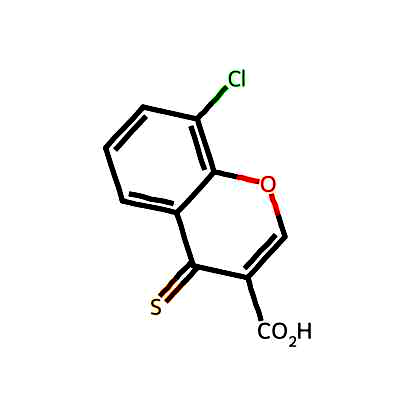 O=C(O)c1coc2c(Cl)cccc2c1=S